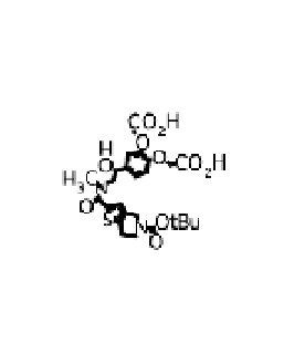 CN(CC(O)c1ccc(OCC(=O)O)c(OCC(=O)O)c1)C(=O)c1cc2c(s1)CCN(C(=O)OC(C)(C)C)C2